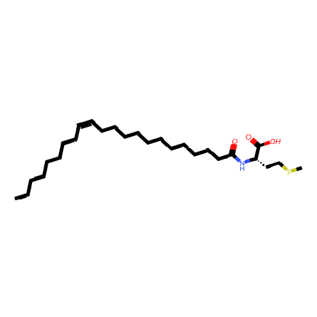 CCCCCCCC/C=C\CCCCCCCCCCCC(=O)N[C@@H](CCSC)C(=O)O